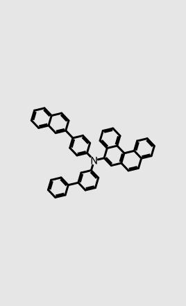 c1ccc(-c2cccc(N(c3ccc(-c4ccc5ccccc5c4)cc3)c3cc4ccc5ccccc5c4c4ccccc34)c2)cc1